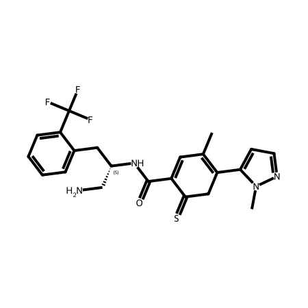 CC1=C(c2ccnn2C)CC(=S)C(C(=O)N[C@H](CN)Cc2ccccc2C(F)(F)F)=C1